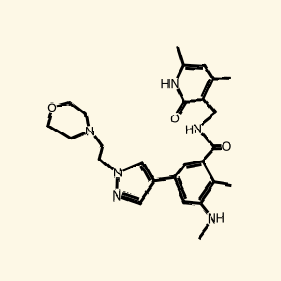 CNc1cc(-c2cnn(CCN3CCOCC3)c2)cc(C(=O)NCc2c(C)cc(C)[nH]c2=O)c1C